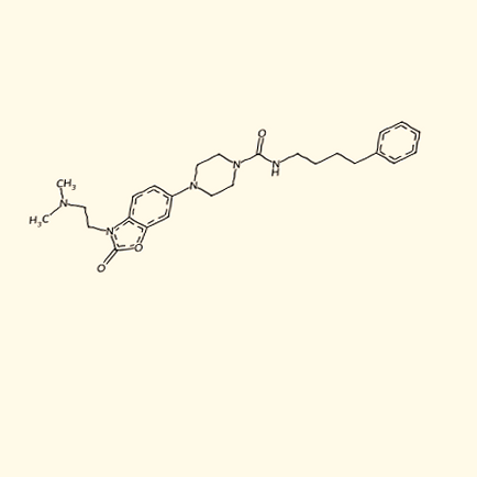 CN(C)CCn1c(=O)oc2cc(N3CCN(C(=O)NCCCCc4ccccc4)CC3)ccc21